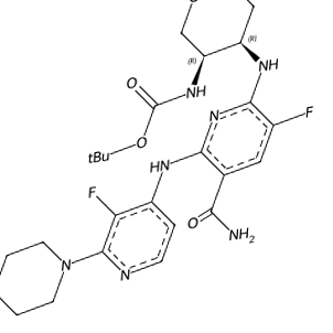 CC(C)(C)OC(=O)N[C@H]1COCC[C@H]1Nc1nc(Nc2ccnc(N3CCOCC3)c2F)c(C(N)=O)cc1F